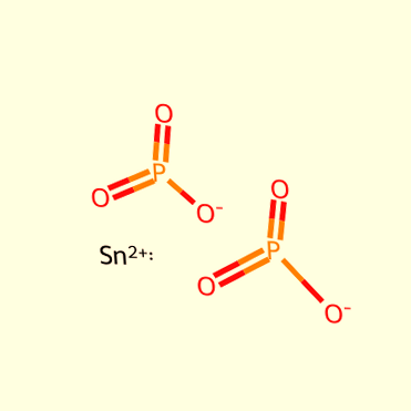 O=P(=O)[O-].O=P(=O)[O-].[Sn+2]